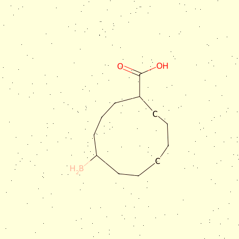 BC1CCCCCCC(C(=O)O)CCC1